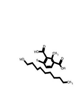 CCCCCCCCCCO.Cc1c(C(=O)O)ccc(F)c1C(=O)O